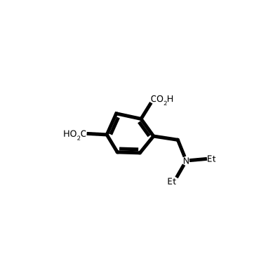 CCN(CC)Cc1ccc(C(=O)O)cc1C(=O)O